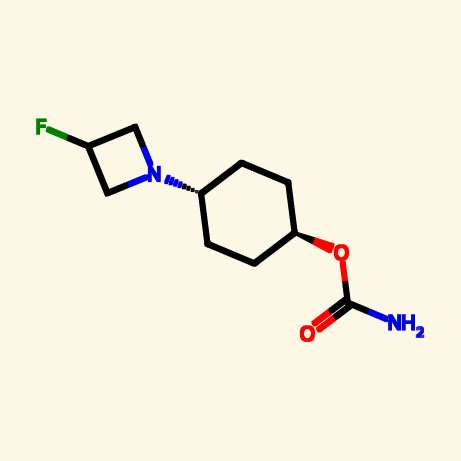 NC(=O)O[C@H]1CC[C@H](N2CC(F)C2)CC1